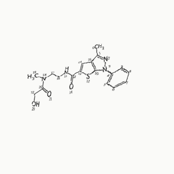 Cc1nn(-c2ccccc2)c2sc(C(=O)NCCN(C)C(=O)CO)cc12